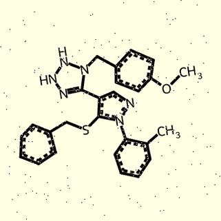 COc1ccc(CN2NNN=C2c2cnn(-c3ccccc3C)c2SCc2ccccc2)cc1